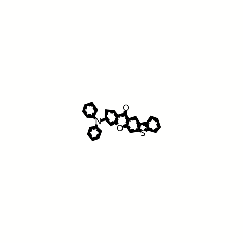 O=c1c2ccc(N(c3ccccc3)c3ccccc3)cc2oc2cc3sc4ccccc4c3cc12